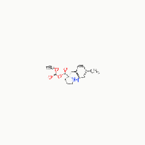 Cc1ccc(C[C@@]2(C(=O)OC(=O)OC(C)(C)C)CCCN2)cc1